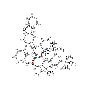 CC(C)(C)c1cc(C(C)(C)C)c2c(c1)C(C)(C)c1cccc(-c3ccccc3N(c3ccc4oc5ccccc5c4c3)c3cccc4ccccc34)c1-2